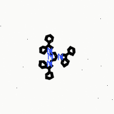 c1ccc(-c2cn(-c3cc(-n4cc(-c5ccccc5)c5ccccc54)nc(-n4cc(-c5ccccc5)c5ccccc54)c3)c3ccccc23)cc1